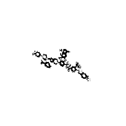 COc1nc2[nH]cc(F)c2cc1Oc1cc(N2CCC3(CC2)CC(N2CCN(C4CCC(F)(F)CC4)C[C@H]2c2ccccc2C(C)C)C3)ccc1C(=O)NS(=O)(=O)c1cnc(NCC2CCC(C)(O)CC2)c([N+](=O)[O-])c1